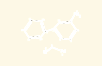 Cl[CH2][Pd].Pc1cccc(-c2ccccc2)c1